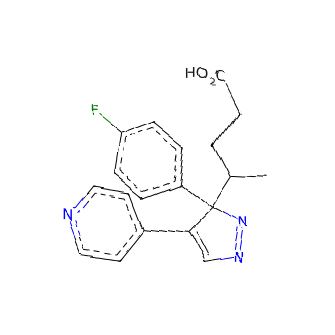 CC(CCC(=O)O)C1(c2ccc(F)cc2)N=NC=C1c1ccncc1